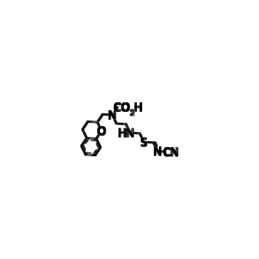 N#CN=CSCNCCN(CC1CCc2ccccc2O1)C(=O)O